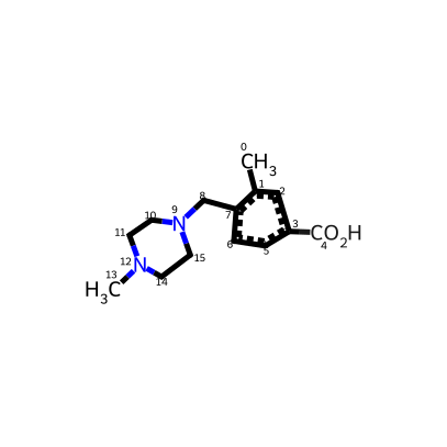 Cc1cc(C(=O)O)ccc1CN1CCN(C)CC1